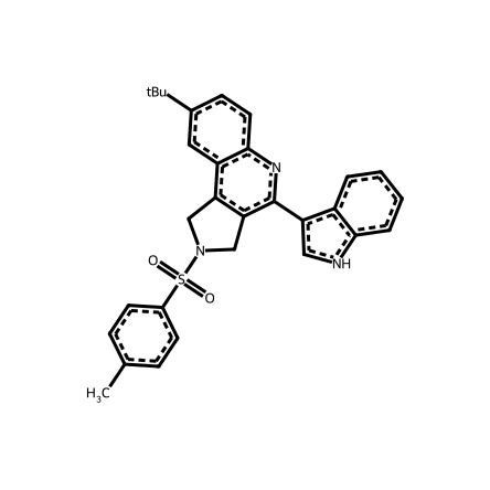 Cc1ccc(S(=O)(=O)N2Cc3c(-c4c[nH]c5ccccc45)nc4ccc(C(C)(C)C)cc4c3C2)cc1